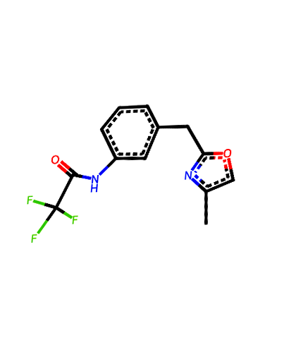 Cc1coc(Cc2cccc(NC(=O)C(F)(F)F)c2)n1